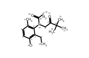 CCc1c(Cl)ccc(C)c1N(CC(=O)C(C)(C)C)C(C)=O